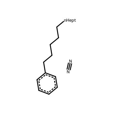 CCCCCCCCCCCCc1ccccc1.N#N